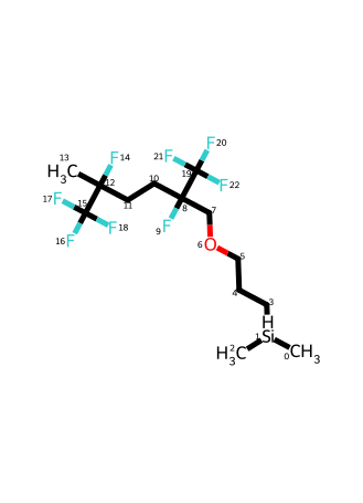 C[SiH](C)CCCOCC(F)(CCC(C)(F)C(F)(F)F)C(F)(F)F